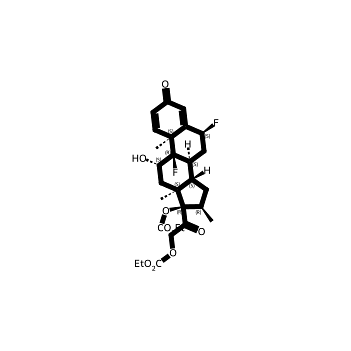 CCOC(=O)OCC(=O)[C@@]1(OC(=O)OCC)[C@H](C)C[C@H]2[C@@H]3C[C@H](F)C4=CC(=O)C=C[C@]4(C)[C@@]3(F)[C@@H](O)C[C@@]21C